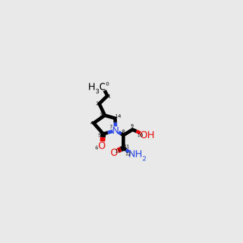 CCCC1CC(=O)N(C(CO)C(N)=O)C1